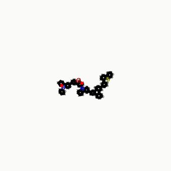 c1ccc(-n2c3ccccc3c3cc(-c4ccc5oc6ccc(-n7c8ccccc8c8cc(-c9ccc%10c%11ccccc%11c%11cc(-c%12cccc(-c%13cccc%14c%13sc%13ccccc%13%14)c%12)ccc%11c%10c9)ccc87)cc6c5c4)ccc32)cc1